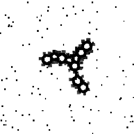 c1ccc2cc(-c3cc4c5cc6c(cc5n5c7nc8ccccc8cc7c(c3)c45)sc3ccccc36)ccc2c1